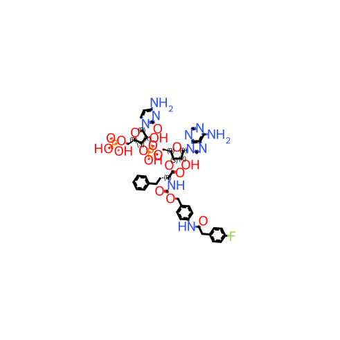 Nc1ccn([C@@H]2O[C@H](COP(=O)(O)O)[C@@H](OP(=O)(O)OC[C@H]3O[C@@H](n4cnc5c(N)ncnc54)[C@H](O)[C@@H]3OC(=O)[C@@H](CCc3ccccc3)NC(=O)OCc3ccc(NC(=O)Cc4ccc(F)cc4)cc3)[C@H]2O)c(=O)n1